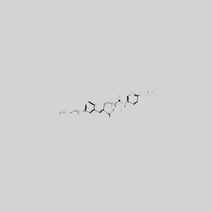 COc1ccc(NC(=O)N2CC/C(=C\c3cccc(OCCOC(C)C)c3)C(C)C2)cn1